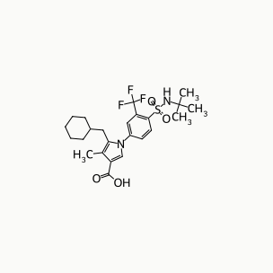 Cc1c(C(=O)O)cn(-c2ccc(S(=O)(=O)NC(C)(C)C)c(C(F)(F)F)c2)c1CC1CCCCC1